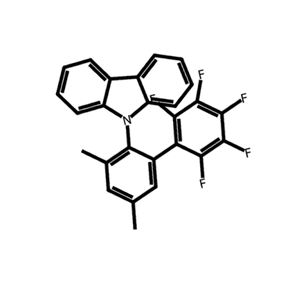 Cc1cc(C)c(-n2c3ccccc3c3ccccc32)c(-c2c(F)c(F)c(F)c(F)c2F)c1